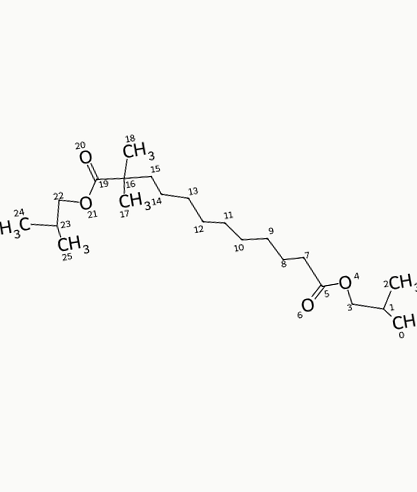 CC(C)COC(=O)CCCCCCCCCC(C)(C)C(=O)OCC(C)C